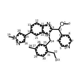 COC(c1ccncc1)c1nc2ccc(-c3cnn(C)c3)cc2n1Cc1cc(C)ccc1CI